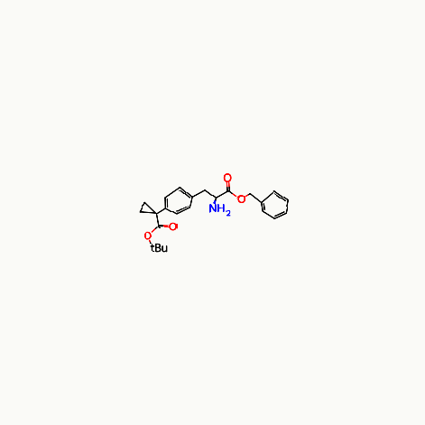 CC(C)(C)OC(=O)C1(c2ccc(C[C@H](N)C(=O)OCc3ccccc3)cc2)CC1